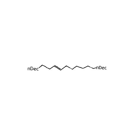 [CH2]CCCCCCCCCCCCCCCC=CCCCCCCCCCCCC